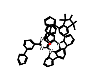 CC1C(C)(C)c2cccc(-c3ccccc3-c3cccc(N4c5c(ccc6c7ccccc7n(-c7nc(-c8ccccc8)nc(-c8cccc(-c9ccccc9)c8)n7)c56)C5C=CC=CC54)c3)c2C1(C)C